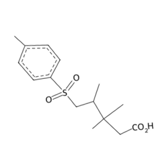 Cc1ccc(S(=O)(=O)CC(C)C(C)(C)CC(=O)O)cc1